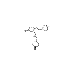 Fc1ccc(COc2ccc(Cl)cc2CNCC2CCNCC2)cc1